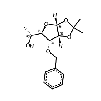 C[C@@H](O)[C@H]1O[C@@H]2OC(C)(C)O[C@@H]2[C@@H]1OCc1ccccc1